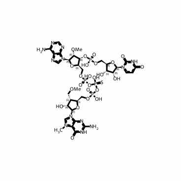 COC[C@H]1[C@@H](O)[C@H](n2c[n+](C)c3c(=O)[nH]c(N)nc32)O[C@@H]1COP(=O)(O)OP(O)(=S)OP(=O)(O)OC[C@H]1O[C@@H](n2cnc3c(N)ncnc32)[C@H](OC)[C@@H]1OP(=O)(O)OC[C@H]1O[C@@H](n2ccc(=O)[nH]c2=O)[C@H](O)[C@@H]1O